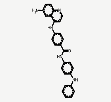 Nc1ccc2nccc(Nc3ccc(C(=O)Nc4ccc(Nc5ccccc5)cc4)cc3)c2c1